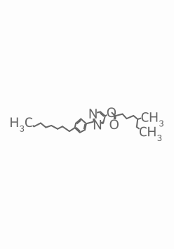 CCCCCCCCc1ccc(-c2ncc(OC(=O)CCCC(C)CC)cn2)cc1